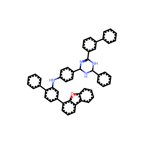 c1ccc(-c2cccc(C3=NC(c4ccc(Nc5cc(-c6cccc7c6oc6ccccc67)ccc5-c5ccccc5)cc4)NC(c4ccccc4)N3)c2)cc1